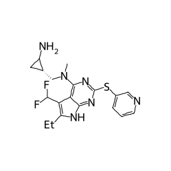 CCc1[nH]c2nc(Sc3cccnc3)nc(N(C)C[C@@H]3CC3N)c2c1C(F)F